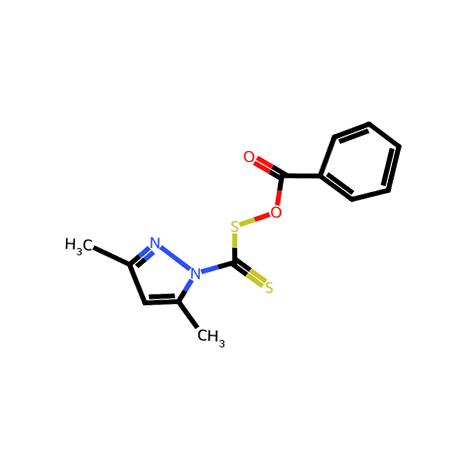 Cc1cc(C)n(C(=S)SOC(=O)c2ccccc2)n1